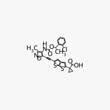 Cc1noc(C#Cc2cc3cc(C4(C(=O)O)CC4)sc3s2)c1NC(=O)OC(C)c1ccccc1Cl